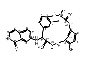 Cc1cc2ccc1CN(C)C(=O)Nc1ccc(S)c(c1)CNC(=O)C2Nc1ccc2cc[nH]c(=O)c2c1